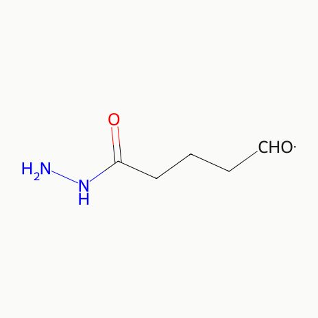 NNC(=O)CCC[C]=O